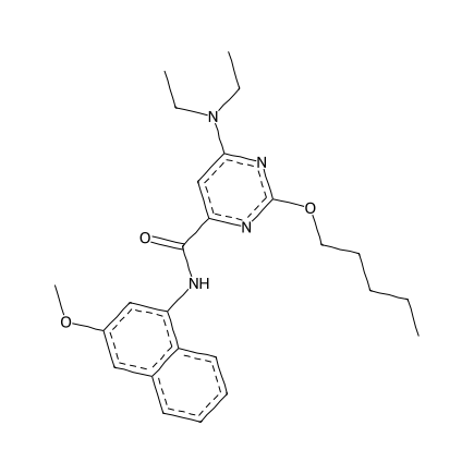 CCCCCOc1nc(C(=O)Nc2cc(OC)cc3ccccc23)cc(N(CC)CC)n1